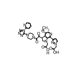 COc1cnc(-c2ccn(CC(=O)O)n2)c2c1C(C(=O)C(=O)N1CCN(c3nnnn3-c3ccccn3)CC1)CN2CC(=O)O